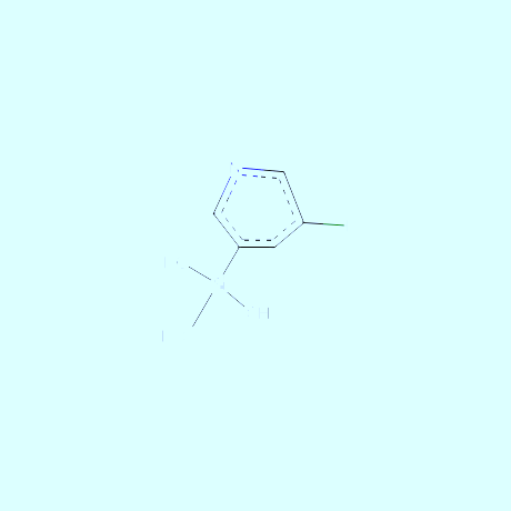 C[Si](C)(C)c1cncc(F)c1